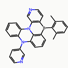 Cc1cccc(C)c1B1c2ccncc2N2c3ccccc3N(c3cccnc3)c3cccc1c32